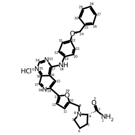 Cl.NC(=O)[C@@H]1CCCN1Cc1ccc(-c2cc3c(Nc4ccc(OCc5ccccc5)cc4)ncnc3cn2)o1